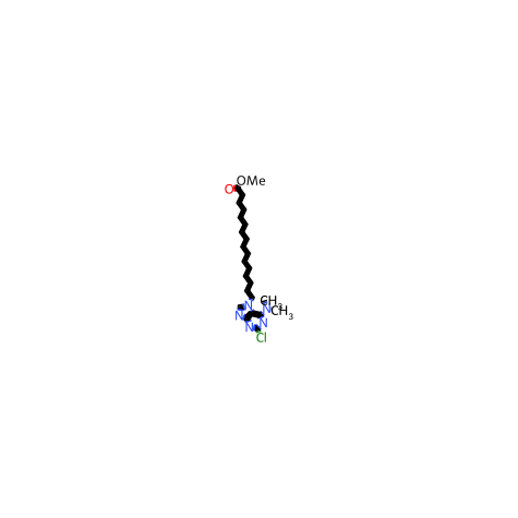 COC(=O)CCCCCCCCCCCCCCCn1cnc2nc(Cl)nc(N(C)C)c21